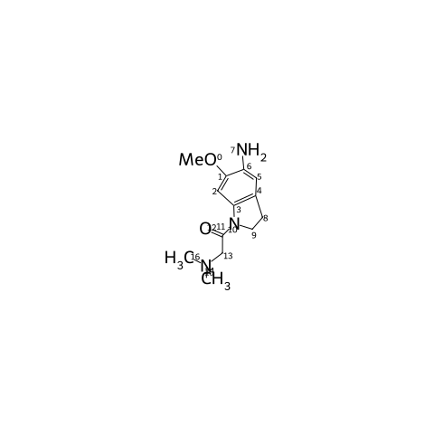 COc1cc2c(cc1N)CCN2C(=O)CN(C)C